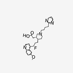 COc1ccc2nccc([C@@H](F)CC[C@@H]3CCN(CCCCc4ncccn4)C[C@@H]3CC(=O)O)c2c1